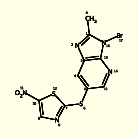 Cc1nc2cc(Sc3ncc([N+](=O)[O-])s3)cnc2n1Br